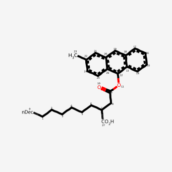 CCCCCCCCCCCCCCCCC(CC(=O)Oc1c2ccccc2cc2cc(C)ccc12)C(=O)O